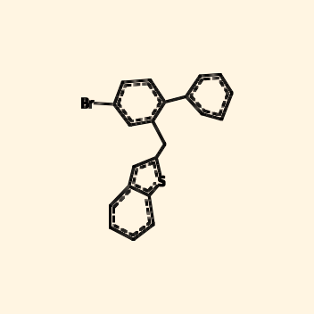 Brc1ccc(-c2ccccc2)c(Cc2cc3ccccc3s2)c1